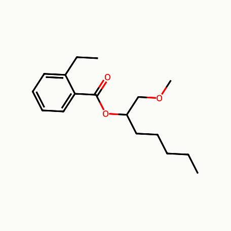 CCCCCC(COC)OC(=O)c1ccccc1CC